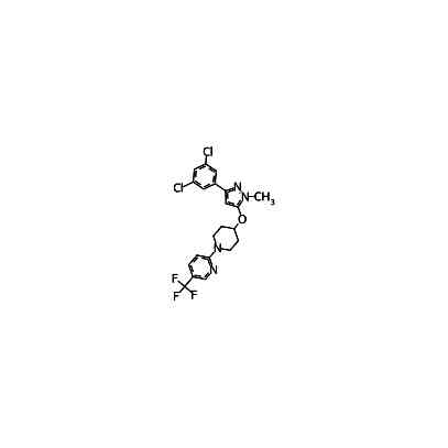 Cn1nc(-c2cc(Cl)cc(Cl)c2)cc1OC1CCN(c2ccc(C(F)(F)F)cn2)CC1